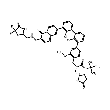 COc1nc(-c2cccc(-c3cccc(-c4ccn5c(=O)c(CNCC6CC(F)(F)C(=O)N6)cnc5c4)c3Cl)c2Cl)ccc1CN(C[C@@H]1CCC(=O)N1)C(=O)OC(C)(C)C